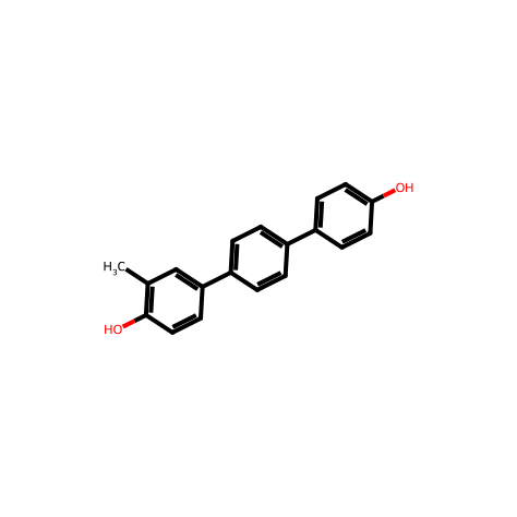 Cc1cc(-c2ccc(-c3ccc(O)cc3)cc2)ccc1O